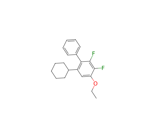 CCOc1cc(C2CCCCC2)c(-c2ccccc2)c(F)c1F